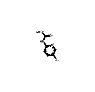 CCc1ccc(NC(=O)OC)nc1